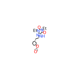 CCn1c(=O)c2[nH]c(/C=C/c3cccc(OC4COC4)c3)nc2n(CC)c1=O